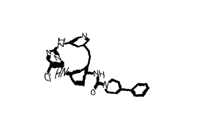 O=C(Nc1ccc2cc1CCC1C=NC=C(C1)Nc1ncc(Cl)c(n1)N2)N1CCC(c2ccccc2)CC1